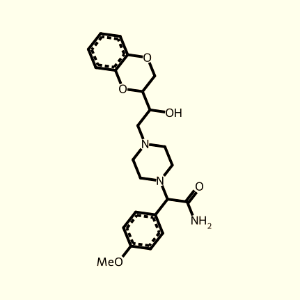 COc1ccc(C(C(N)=O)N2CCN(CC(O)C3COc4ccccc4O3)CC2)cc1